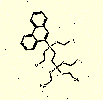 CCO[Si](CC[Si](OCC)(OCC)c1cc2ccccc2c2ccccc12)(OCC)OCC